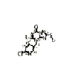 COc1cc(=O)n2nc(SC)nc2n1Cc1ccc(Cl)nc1